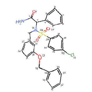 NC(=O)C(c1ccccc1)N(Cc1cccc(OCc2ccccc2)c1)S(=O)(=O)c1ccc(Cl)cc1